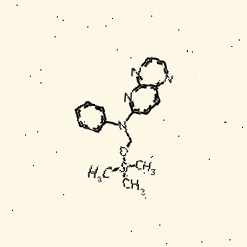 C[Si](C)(C)OCN(c1ccccc1)c1ccc2nccnc2n1